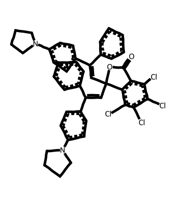 O=C1OC(/C=C(\c2ccccc2)c2ccc(N3CCCC3)cc2)(/C=C(\c2ccccc2)c2ccc(N3CCCC3)cc2)c2c(Cl)c(Cl)c(Cl)c(Cl)c21